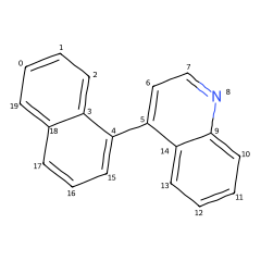 c1ccc2c(-c3ccnc4ccccc34)cccc2c1